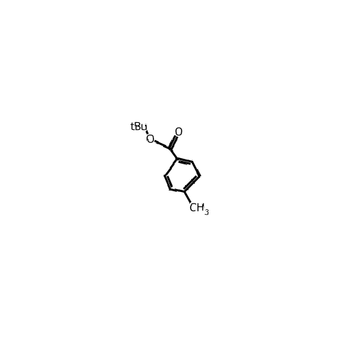 Cc1ccc(C(=O)OC(C)(C)C)cc1